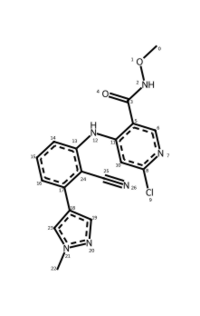 CONC(=O)c1cnc(Cl)cc1Nc1cccc(-c2cnn(C)c2)c1C#N